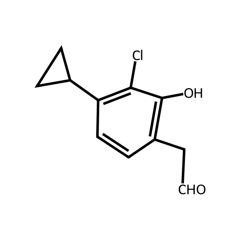 O=CCc1ccc(C2CC2)c(Cl)c1O